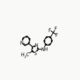 Cc1sc(Nc2ccc(C(F)(F)F)cc2)nc1-c1cccnc1